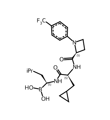 CC(C)C[C@@H](NC(=O)[C@H](CC1CC1)NC(=O)[C@@H]1CCN1c1ccc(C(F)(F)F)cc1)B(O)O